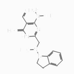 C=CC1=C(N(C)C)N=C(CN(C)N2CCc3ccccc32)NC1=C